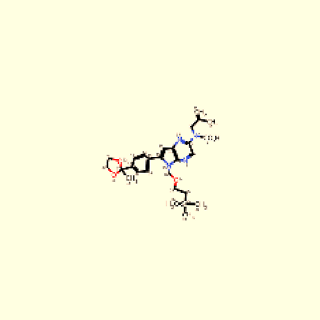 C=C(C)CN(C(=O)O)c1cnc2c(cc(-c3ccc(C4(C)OCCO4)cc3)n2COCC[Si](C)(C)C)n1